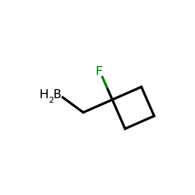 BCC1(F)CCC1